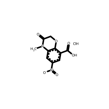 CN1C(=O)COc2c(C(=O)O)cc([N+](=O)[O-])cc21.Cl